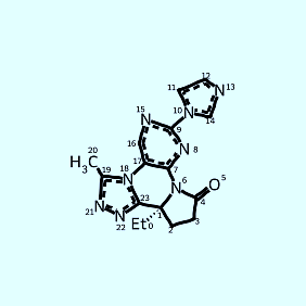 CC[C@@]12CCC(=O)N1c1nc(-n3ccnc3)ncc1-n1c(C)nnc12